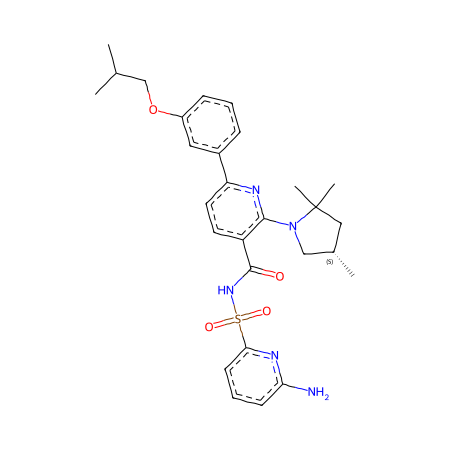 CC(C)COc1cccc(-c2ccc(C(=O)NS(=O)(=O)c3cccc(N)n3)c(N3C[C@@H](C)CC3(C)C)n2)c1